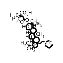 C=C(C)[C@@H]1CC[C@]2(CCN3CCCCC3)CC[C@]3(C)[C@H](CC[C@@H]4[C@@]5(C)CC[C@H](OC(=O)CC(C)(C)C(=O)O)C(C)(C)[C@@H]5CC[C@]43C)[C@@H]12